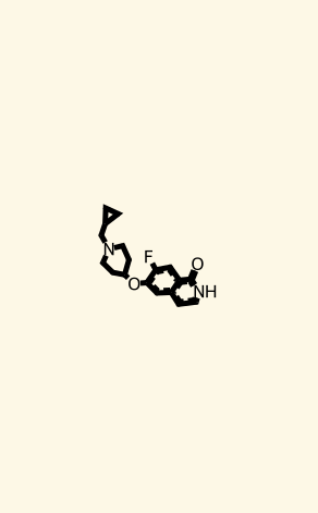 O=c1[nH]ccc2cc(OC3CCN(CC4CC4)CC3)c(F)cc12